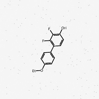 CCOc1ccc(-c2ccc(O)c(F)c2F)cc1